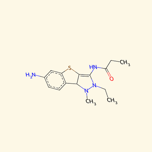 CCC(=O)NC1=C2Sc3cc(N)ccc3C2N(C)N1CC